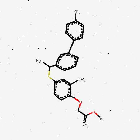 C=C(COc1ccc(SC(C)c2cccc(-c3ccc(C(F)(F)F)cc3)c2)cc1C)OCC